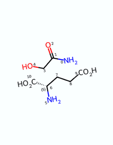 NC(=O)CO.N[C@@H](CCC(=O)O)C(=O)O